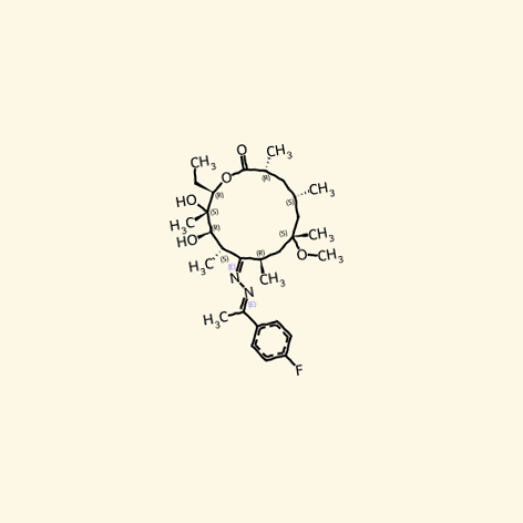 CC[C@H]1OC(=O)[C@H](C)C[C@H](C)C[C@](C)(OC)C[C@@H](C)/C(=N\N=C(/C)c2ccc(F)cc2)[C@H](C)[C@@H](O)[C@]1(C)O